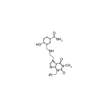 CC(C)Cn1c(=O)n(C)c(=O)c2c1ncn2CCNCc1cc(C(N)=O)ccc1O